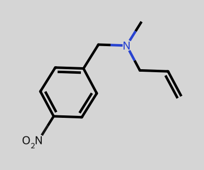 C=CCN(C)Cc1ccc([N+](=O)[O-])cc1